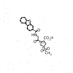 CS(=O)(=O)[C@@H]1C[C@@H](C(=O)O)N(C(=O)CNC(=O)c2ccc3c(c2)sc2ccccc23)C1